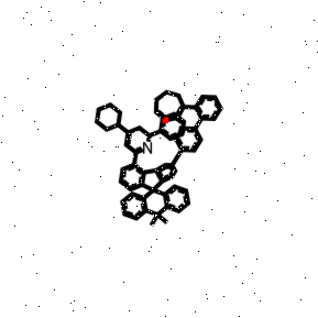 CC1(C)c2ccccc2C2(c3ccc(-c4ccc(-c5ccccc5C5=CC=CCCC5)cc4)cc3-c3c(C4=NC(c5ccccc5)CC(C5CCCCC5)=C4)cccc32)c2ccccc21